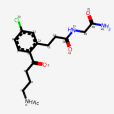 CC(=O)NCCCC(=O)c1ccc(Cl)cc1CCC(=O)NCC(N)=O